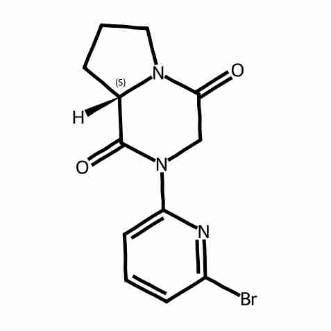 O=C1[C@@H]2CCCN2C(=O)CN1c1cccc(Br)n1